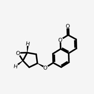 O=c1ccc2ccc(O[C@H]3C[C@@H]4O[C@@H]4C3)cc2o1